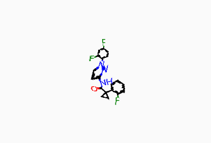 O=C(Nc1ccn(-c2ccc(F)cc2F)n1)C1(c2ccccc2F)CC1